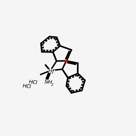 Cl.Cl.[CH3][Hf]([CH3])(=[SiH2])([CH]1C=Cc2ccccc21)[CH]1C=Cc2ccccc21